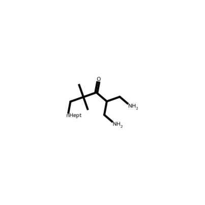 CCCCCCCCC(C)(C)C(=O)C(CN)CN